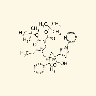 CCC[C@@H](CN(C(=O)OC(C)(C)C)C(=O)OC(C)(C)C)C[C@]1(C(C)c2ccccc2)C[C@@]1(C(=O)O)c1cn(-c2ccccn2)cn1